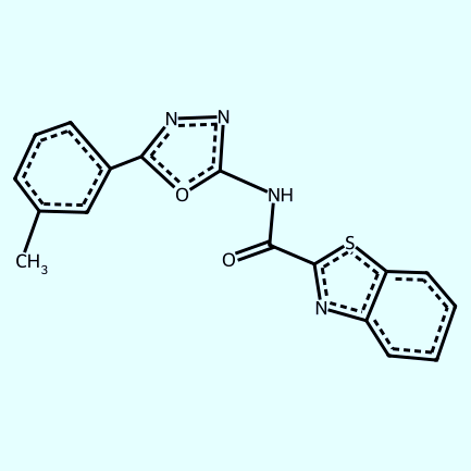 Cc1cccc(-c2nnc(NC(=O)c3nc4ccccc4s3)o2)c1